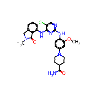 COc1cc(N2CCC(C(N)=O)CC2)ccc1Nc1ncc(Cl)c(Nc2cccc3c2C(=O)N(C)C3)n1